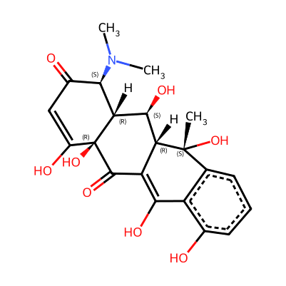 CN(C)[C@@H]1C(=O)C=C(O)[C@@]2(O)C(=O)C3=C(O)c4c(O)cccc4[C@@](C)(O)[C@H]3[C@H](O)[C@@H]12